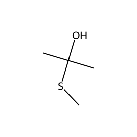 CSC(C)(C)O